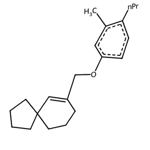 CCCc1ccc(OCC2=CC3(CCCC3)CCC2)cc1C